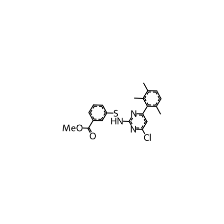 COC(=O)c1cccc(SNc2nc(Cl)cc(-c3c(C)ccc(C)c3C)n2)c1